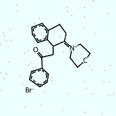 O=C(CC1C(=[N+]2CCCCC2)CCc2ccccc21)c1ccccc1.[Br-]